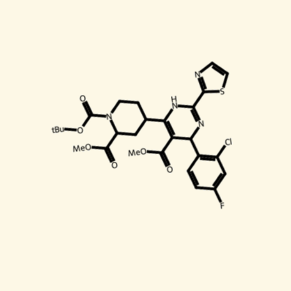 COC(=O)C1=C(C2CCN(C(=O)OC(C)(C)C)C(C(=O)OC)C2)NC(c2nccs2)=NC1c1ccc(F)cc1Cl